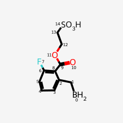 BCc1cccc(F)c1C(=O)OCCS(=O)(=O)O